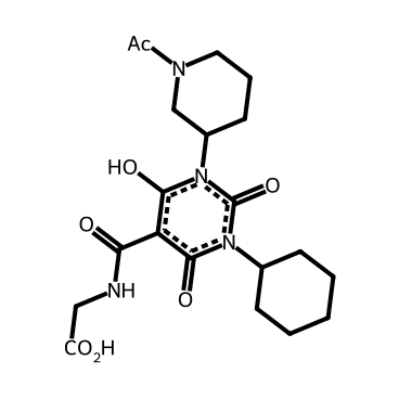 CC(=O)N1CCCC(n2c(O)c(C(=O)NCC(=O)O)c(=O)n(C3CCCCC3)c2=O)C1